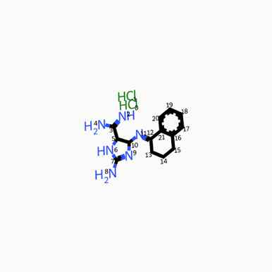 Cl.Cl.N=C(N)C1NC(N)=NC1N=C1CCCc2ccccc21